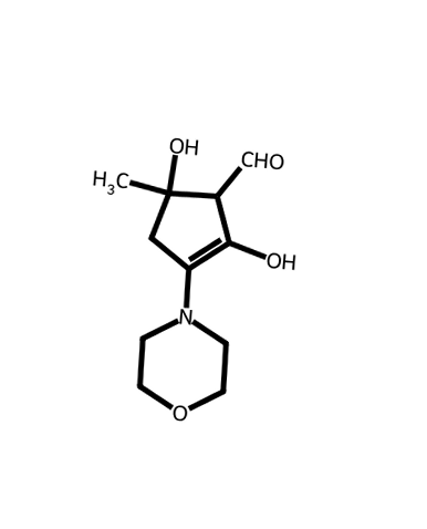 CC1(O)CC(N2CCOCC2)=C(O)C1C=O